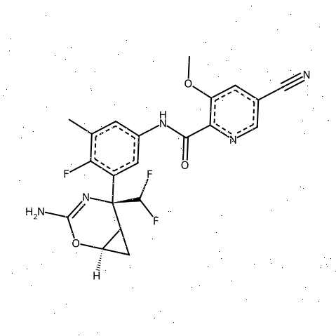 COc1cc(C#N)cnc1C(=O)Nc1cc(C)c(F)c([C@@]2(C(F)F)N=C(N)O[C@@H]3CC32)c1